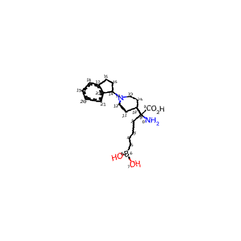 N[C@@](CCCCB(O)O)(C(=O)O)C1CCN(C2CCc3ccccc32)CC1